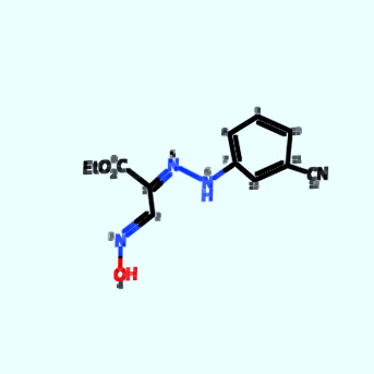 CCOC(=O)C(/C=N/O)=N/Nc1cccc(C#N)c1